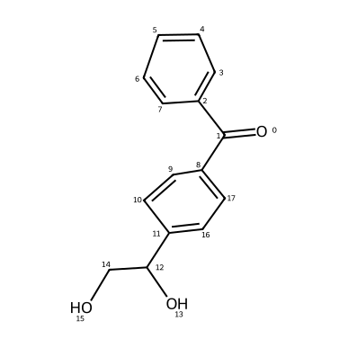 O=C(c1ccccc1)c1ccc(C(O)CO)cc1